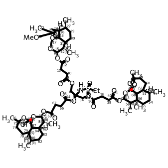 CCS(=O)(=O)NC(COC(=O)CCC(=O)O[C@H]1OC[C@]23OOC(C)(OC)CC[C@@H]2[C@@H](C)CC[C@@H]3[C@@H]1C)(COC(=O)CCC(=O)O[C@@H]1O[C@@H]2OC3(C)CC[C@H]4[C@H](C)CC[C@@](C)([C@H]1C)[C@@]24OO3)OC(=O)CCC(=O)O[C@@H]1O[C@@H]2OC3(C)CC[C@H]4[C@H](C)CC[C@@H]([C@H]1C)[C@@]24OO3